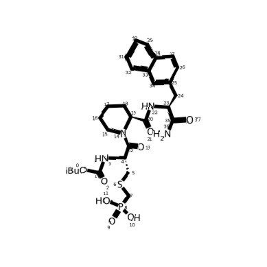 CC(C)COC(=O)N[C@@H](CSCP(=O)(O)O)C(=O)N1CCCC[C@H]1C(=O)N[C@@H](Cc1ccc2ccccc2c1)C(N)=O